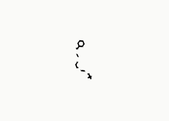 CCC(C)(C)C(=O)OCCOC(=O)CCOCCOC(=O)C1CCCCC1C(=O)O